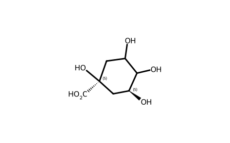 O=C(O)[C@]1(O)CC(O)C(O)[C@@H](O)C1